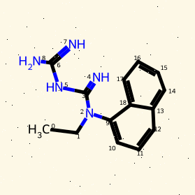 CCN(C(=N)NC(=N)N)c1cccc2ccccc12